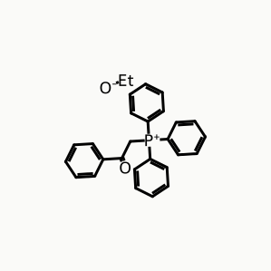 CC[O-].O=C(C[P+](c1ccccc1)(c1ccccc1)c1ccccc1)c1ccccc1